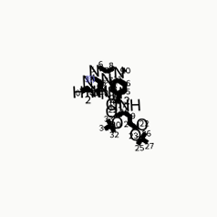 C=C(N)/N=C1/N=CC(CN(C)c2ccc(C(=O)NC(CCC(=O)OC(C)(C)C)C(=O)OC(C)(C)C)cc2)=NC1=C(N)N